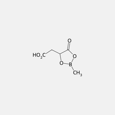 CB1OC(=O)C(CC(=O)O)O1